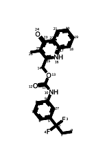 CCC(F)(F)c1cccc(NC(=O)OCc2[nH]c3ccccc3c(=O)c2C)c1